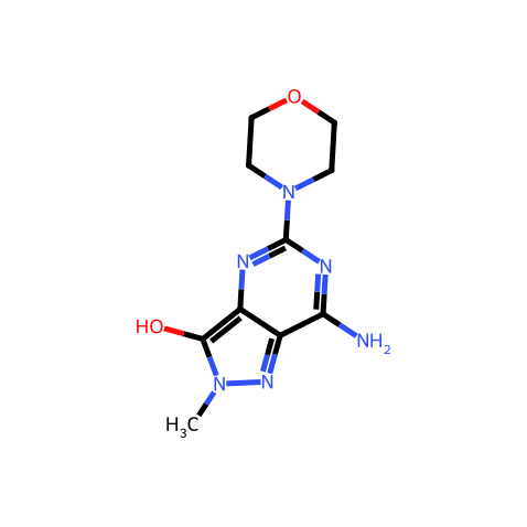 Cn1nc2c(N)nc(N3CCOCC3)nc2c1O